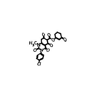 Cn1c2c(c(=O)n(-c3ccc(Cl)cc3)c1=O)C(=O)C(C(=O)OC1=CC(=O)CCC1)C(=O)C2